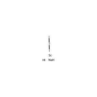 I.I[I-]I.[NaH].[Sc]